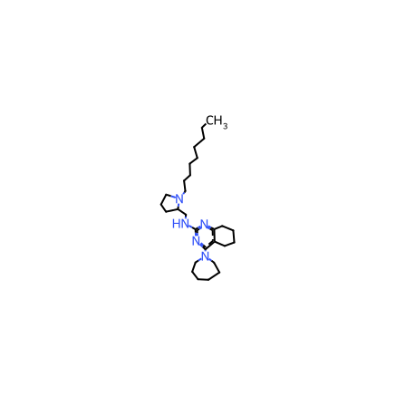 CCCCCCCCCN1CCCC1CNc1nc2c(c(N3CCCCCC3)n1)CCCC2